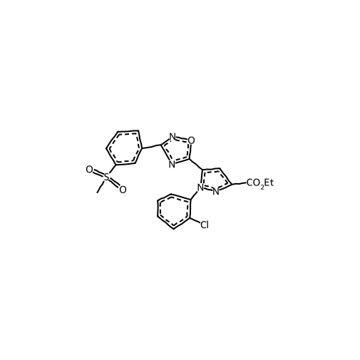 CCOC(=O)c1cc(-c2nc(-c3cccc(S(C)(=O)=O)c3)no2)n(-c2ccccc2Cl)n1